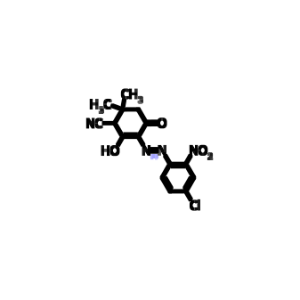 CC1(C)CC(=O)C(/N=N/c2ccc(Cl)cc2[N+](=O)[O-])=C(O)C1C#N